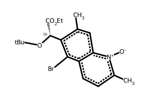 CCOC(=O)[C@@H](OC(C)(C)C)c1c(C)cc2c(ccc(C)[n+]2[O-])c1Br